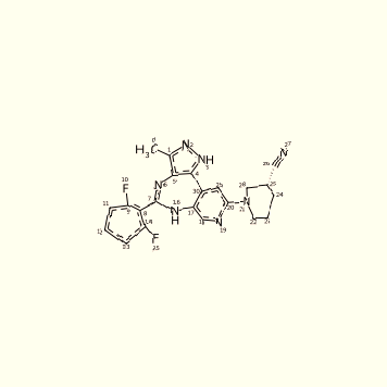 Cc1n[nH]c2c1N=C(c1c(F)cccc1F)Nc1cnc(N3CCC[C@@H](C#N)C3)cc1-2